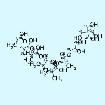 C=C(C)C(=O)O.C=C(C)C(=O)O.C=C(C)C(=O)OCC(O)CO.C=CC(=O)O.C=CC(=O)O.C=CC(=O)O.OCC(CO)(CO)CO